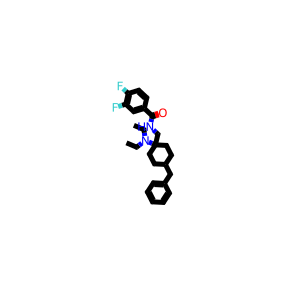 CCN(CC)C1(CNC(=O)c2ccc(F)c(F)c2)CCC(Cc2ccccc2)CC1